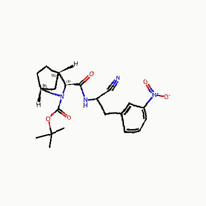 CC(C)(C)OC(=O)N1[C@@H]2CC[C@@H](C2)[C@H]1C(=O)NC(C#N)Cc1cccc([N+](=O)[O-])c1